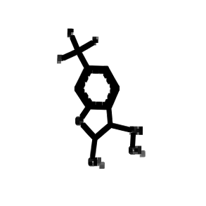 CNC1c2ccc(C(F)(F)F)cc2OC1C